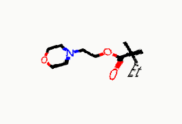 CCC(C)(C)C(=O)OCCN1CCOCC1